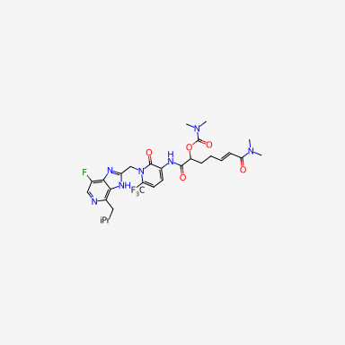 CC(C)Cc1ncc(F)c2nc(Cn3c(C(F)(F)F)ccc(NC(=O)C(CCC=CC(=O)N(C)C)OC(=O)N(C)C)c3=O)[nH]c12